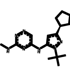 CNc1nncc(Nc2cc([C@H]3C[CH]CC3)nn2C(C)(C)C)n1